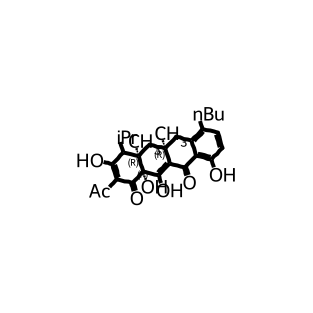 CCCCc1ccc(O)c2c1C[C@]1(C)C[C@]3(C)C(C(C)C)C(O)=C(C(C)=O)C(=O)[C@]3(O)C(O)=C1C2=O